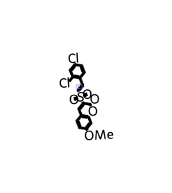 COc1ccc2cc(S(=O)(=O)/C=C/c3ccc(Cl)cc3Cl)c(=O)oc2c1